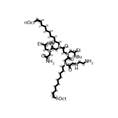 CCCCCCCC/C=C\CCCCCCCCN(CC(=O)N(CC(=O)N(CCCCCCCC/C=C\CCCCCCCC)CC(=O)N(CC(N)=O)CC(CC)CCCC)CC(CC)CCCC)C(=O)CNCCN